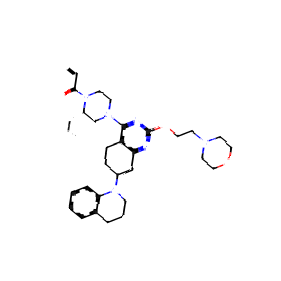 C=CC(=O)N1CCN(c2nc(OCCN3CCOCC3)nc3c2CCC(N2CCCc4ccccc42)C3)C[C@@H]1CC#N